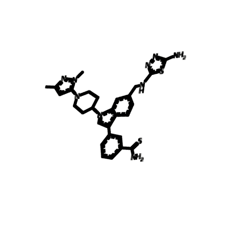 Cc1cc(N2CCC(n3cc(-c4cccc(C(N)=S)c4)c4ccc(CNc5nnc(N)s5)cc43)CC2)n(C)n1